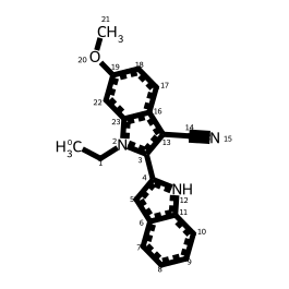 CCn1c(-c2cc3ccccc3[nH]2)c(C#N)c2ccc(OC)cc21